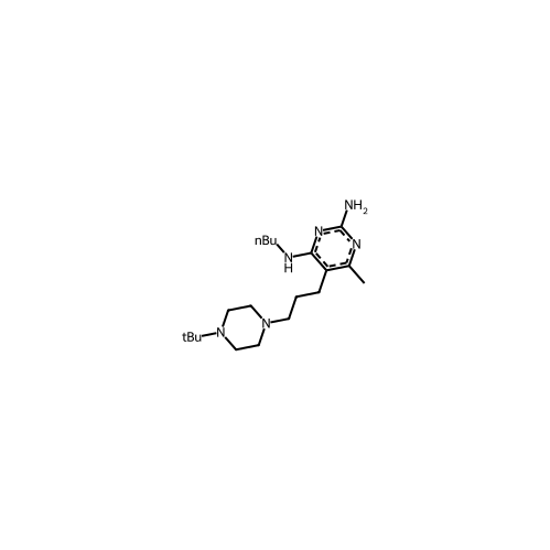 CCCCNc1nc(N)nc(C)c1CCCN1CCN(C(C)(C)C)CC1